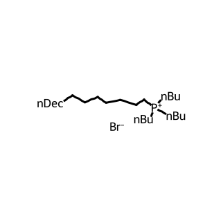 CCCCCCCCCCCCCCCCC[P+](CCCC)(CCCC)CCCC.[Br-]